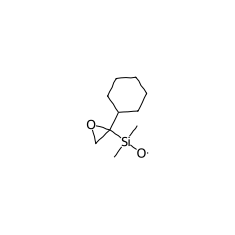 C[Si](C)([O])C1(C2CCCCC2)CO1